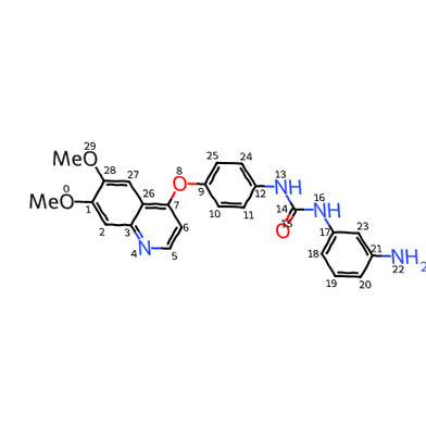 COc1cc2nccc(Oc3ccc(NC(=O)Nc4cccc(N)c4)cc3)c2cc1OC